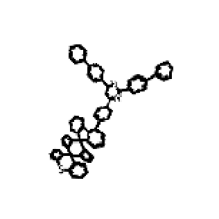 c1ccc(-c2ccc(-c3cc(-c4ccc(-c5cccc6c5-c5ccccc5C65c6ccccc6C6(c7ccccc7Sc7ccccc76)c6ccccc65)cc4)nc(-c4ccc(-c5ccccc5)cc4)n3)cc2)cc1